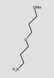 COCCCOCCCN